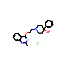 Cc1nc(OCCN2CCC(O)(c3ccccc3)CC2)c2ccccc2n1.Cl